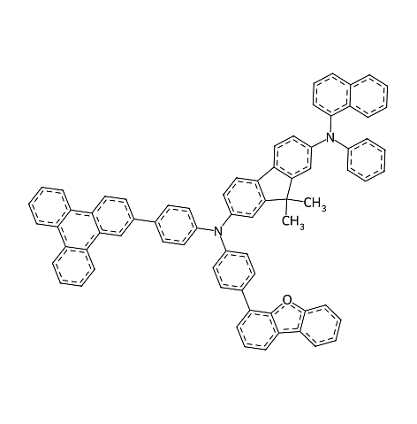 CC1(C)c2cc(N(c3ccc(-c4ccc5c6ccccc6c6ccccc6c5c4)cc3)c3ccc(-c4cccc5c4oc4ccccc45)cc3)ccc2-c2ccc(N(c3ccccc3)c3cccc4ccccc34)cc21